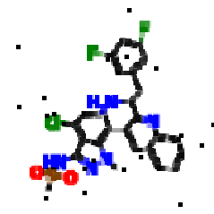 Cn1nc(NS(C)(=O)=O)c2c(Cl)ccc(-c3cc4ccccc4nc3C(N)Cc3cc(F)cc(F)c3)c21